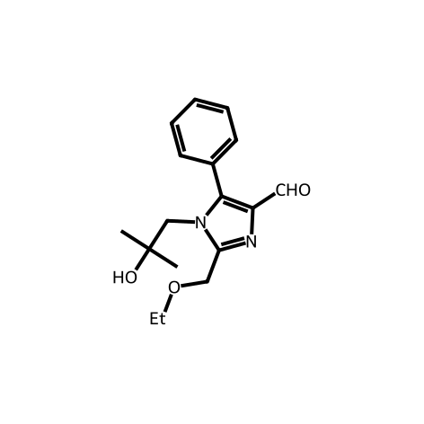 CCOCc1nc(C=O)c(-c2ccccc2)n1CC(C)(C)O